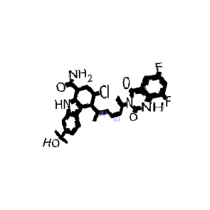 C=C(/C=C\C=C(/C)C1c2c([nH]c3cc(C(C)(C)O)ccc23)C(C(N)=O)CC1Cl)n1c(=O)[nH]c2c(F)cc(F)cc2c1=O